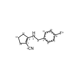 N#CC1=C(NCc2ccc(F)cc2)CCC1